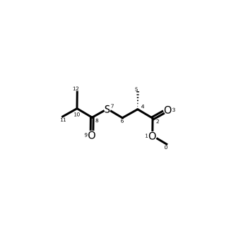 COC(=O)[C@@H](C)CSC(=O)C(C)C